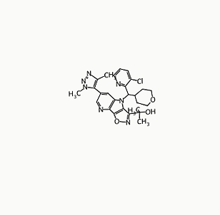 Cc1nnn(C)c1-c1cnc2c3onc(C(C)(C)O)c3n(C(c3ncccc3Cl)C3CCOCC3)c2c1